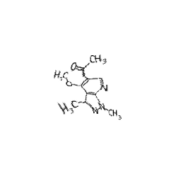 COc1c(C(C)=O)cnc2c1c(C)nn2C